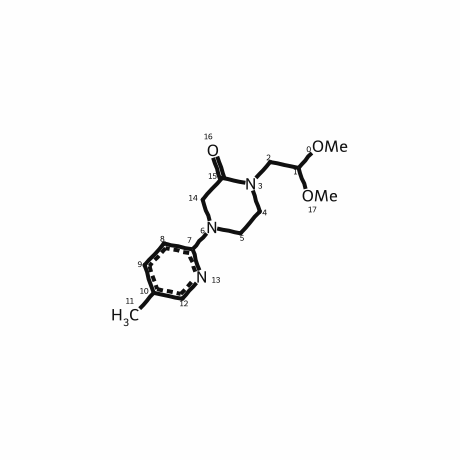 COC(CN1CCN(c2ccc(C)cn2)CC1=O)OC